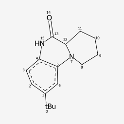 CC(C)(C)c1ccc2c(c1)N1CCCCC1C(=O)N2